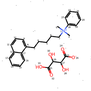 C[N+](C)(CCCCCc1cccc2ccccc12)c1ccccc1.O=C([O-])C(O)C(O)C(=O)O